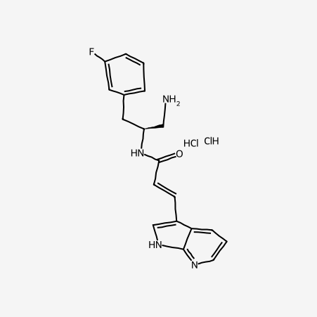 Cl.Cl.NC[C@H](Cc1cccc(F)c1)NC(=O)/C=C/c1c[nH]c2ncccc12